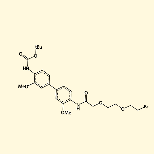 COc1cc(-c2ccc(NC(=O)OC(C)(C)C)c(OC)c2)ccc1NC(=O)COCCOCCBr